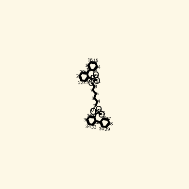 O=P1(OCCCCCCOP2(=O)Oc3ccccc3-c3ccccc32)Oc2ccccc2-c2ccccc21